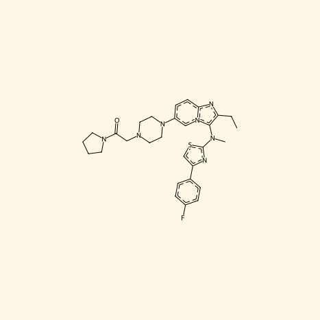 CCc1nc2ccc(N3CCN(CC(=O)N4CCCC4)CC3)cn2c1N(C)c1nc(-c2ccc(F)cc2)cs1